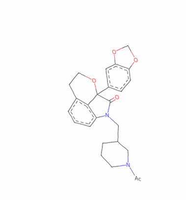 CC(=O)N1CCCC(CN2C(=O)C3(c4ccc5c(c4)OCO5)OCCc4cccc2c43)C1